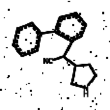 N#CC(c1ccccc1-c1ccccc1)C1CCNC1